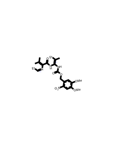 CC/C=N\C(C(=O)N/C(NC(=O)OCc1cc(OC)c(OC)cc1[N+](=O)[O-])=C(/C)CC)=C(C)C